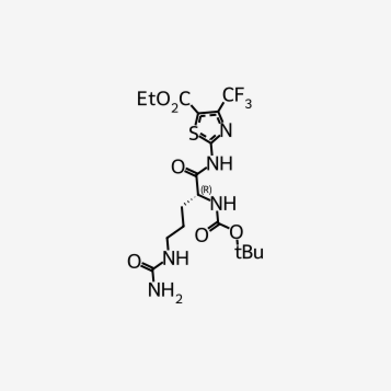 CCOC(=O)c1sc(NC(=O)[C@@H](CCCNC(N)=O)NC(=O)OC(C)(C)C)nc1C(F)(F)F